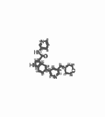 O=C(Nc1cccnc1)c1c[nH]c2ccc(-c3cncc(CN4CCOCC4)c3)cc12